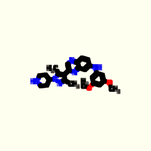 COc1cc(Nc2ccc3ncc(-c4c(C)nn(C5CCNCC5)c4C)nc3c2)cc(OC)c1